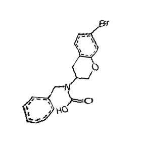 O=C(O)N(Cc1ccccc1)C1COc2cc(Br)ccc2C1